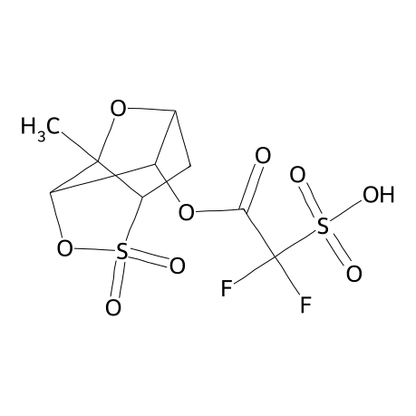 CC12OC3CC1S(=O)(=O)OC2C3OC(=O)C(F)(F)S(=O)(=O)O